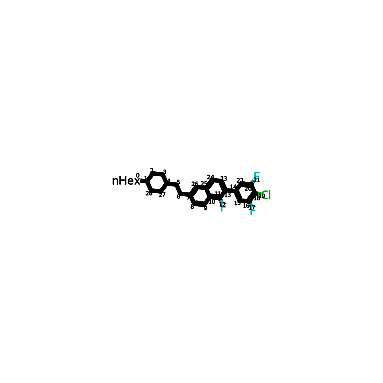 CCCCCCC1CCC(CCc2ccc3c(F)c(-c4cc(F)c(Cl)c(F)c4)ccc3c2)CC1